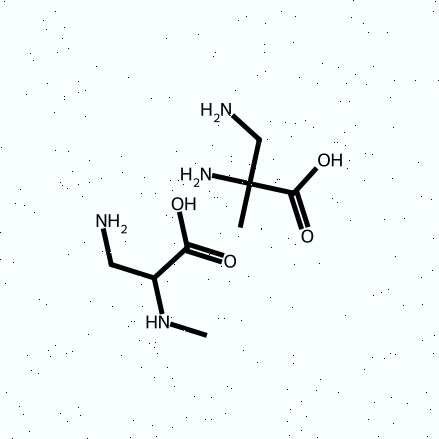 CC(N)(CN)C(=O)O.CNC(CN)C(=O)O